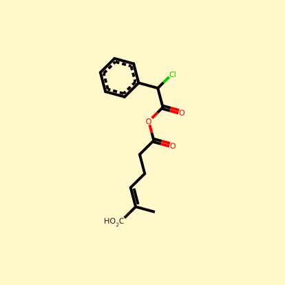 CC(=CCCC(=O)OC(=O)C(Cl)c1ccccc1)C(=O)O